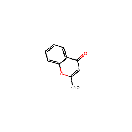 O=[C]c1cc(=O)c2ccccc2o1